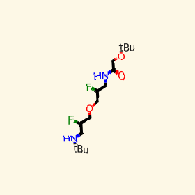 CC(C)(C)NCC(F)COCC(F)CNC(=O)COC(C)(C)C